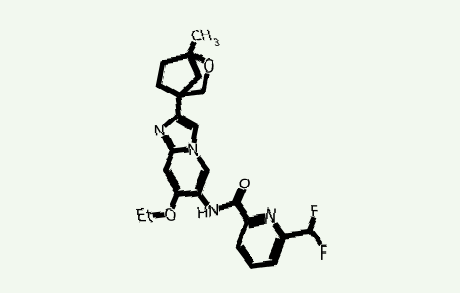 CCOc1cc2nc(C34CCC(C)(C3)OC4)cn2cc1NC(=O)c1cccc(C(F)F)n1